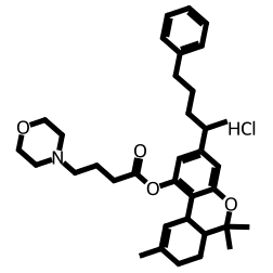 CC1=CC2c3c(OC(=O)CCCN4CCOCC4)cc(C(C)CCCc4ccccc4)cc3OC(C)(C)C2CC1.Cl